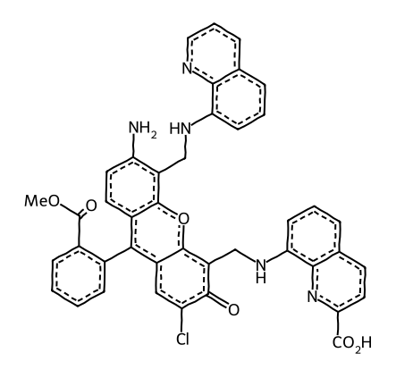 COC(=O)c1ccccc1-c1c2cc(Cl)c(=O)c(CNc3cccc4ccc(C(=O)O)nc34)c-2oc2c(CNc3cccc4cccnc34)c(N)ccc12